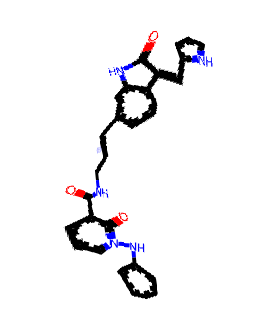 O=C1Nc2cc(/C=C/CNC(=O)c3cccn(Nc4ccccc4)c3=O)ccc2C1=Cc1ccc[nH]1